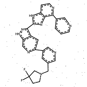 FC1(F)CCN(Cc2cncc(-c3cc4c(-c5nc6c(-c7cccnc7)nccc6[nH]5)n[nH]c4cn3)c2)C1